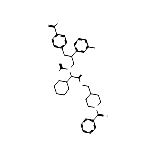 N=C(N)c1ccc(CC(CN(C(=O)C(F)(F)F)C(C(=O)NCC2CCN(C(=N)c3ccccc3)CC2)C2CCCCC2)c2cccc(Br)c2)cc1